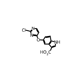 O=C(O)c1c[nH]c2ccc(Oc3ccnc(Cl)n3)cc12